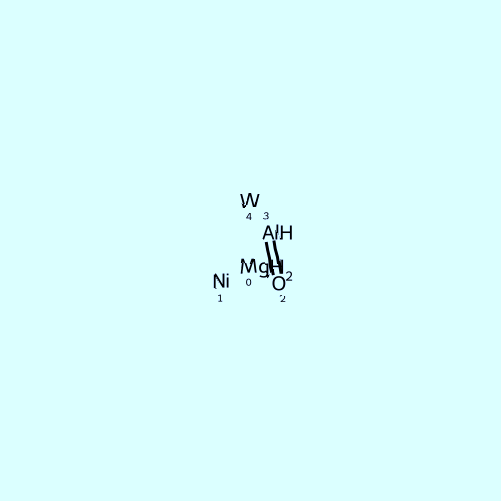 [MgH2].[Ni].[O]=[AlH].[W]